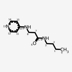 CCCCNC(=O)CCNc1ccncc1